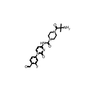 CC(C)(N)C(=O)N1CCN(C(=O)Nc2ccn(-c3ccc(C=O)c(F)c3)c(=O)n2)CC1